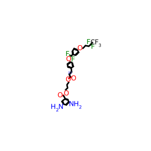 Nc1cc(N)cc(C(=O)OCCCCOC(=O)/C=C/c2ccc(OC(F)(F)c3ccc(OCCCC(F)(F)C(F)(F)F)cc3)cc2)c1